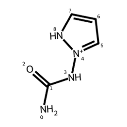 NC(=O)N[n+]1ccc[nH]1